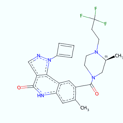 Cc1cc2[nH]c(=O)c3cnn(C4=CC=C4)c3c2cc1C(=O)N1CCN(CCC(F)(F)F)[C@@H](C)C1